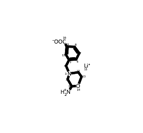 NC1CN(Cc2cccc(C(=O)[O-])c2)CCO1.[Li+]